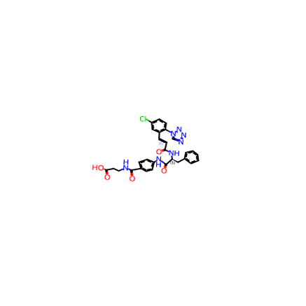 O=C(O)CCNC(=O)c1ccc(NC(=O)[C@H](Cc2ccccc2)NC(=O)/C=C/c2cc(Cl)ccc2-n2cnnn2)cc1